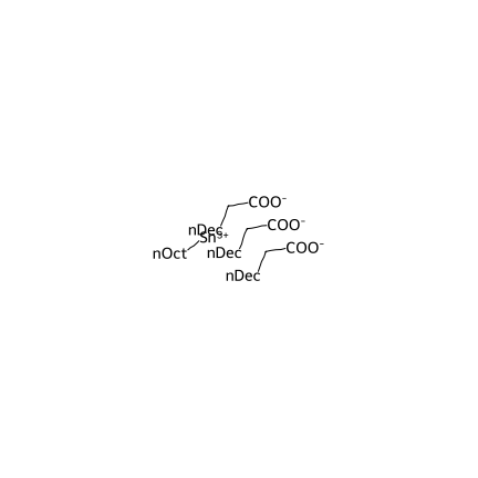 CCCCCCCCCCCC(=O)[O-].CCCCCCCCCCCC(=O)[O-].CCCCCCCCCCCC(=O)[O-].CCCCCCC[CH2][Sn+3]